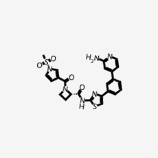 CS(=O)(=O)n1ccc(C(=O)N2CC[C@H]2C(=O)Nc2nc(-c3cccc(-c4ccnc(N)c4)c3)cs2)c1